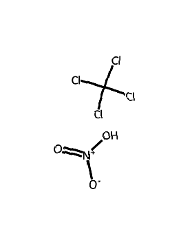 ClC(Cl)(Cl)Cl.O=[N+]([O-])O